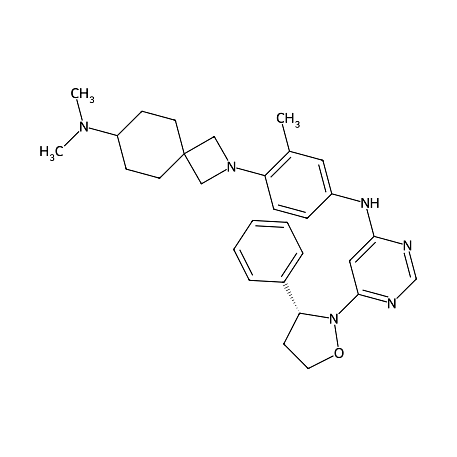 Cc1cc(Nc2cc(N3OCC[C@@H]3c3ccccc3)ncn2)ccc1N1CC2(CCC(N(C)C)CC2)C1